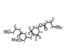 COCC(CC(=O)CC(C)CC(C)(C)C)CN1C(C)(C)CC(OC(=O)CC(C)CC(C)(C)C)CC1(C)C